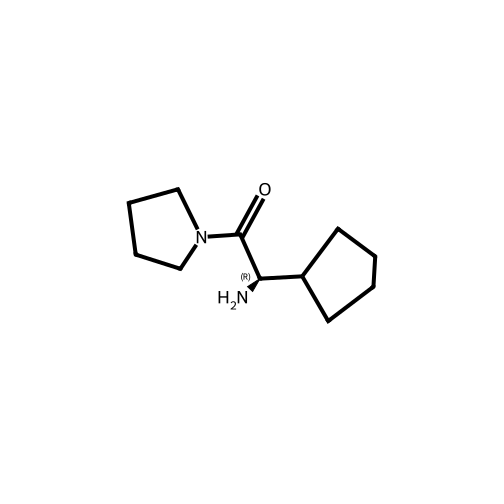 N[C@@H](C(=O)N1CCCC1)C1CCCC1